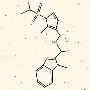 Cc1c(CNC(C)c2cc3ccccc3n2C)ncn1S(=O)(=O)N(C)C